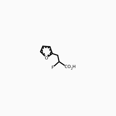 O=C(O)C(F)Cc1ccco1